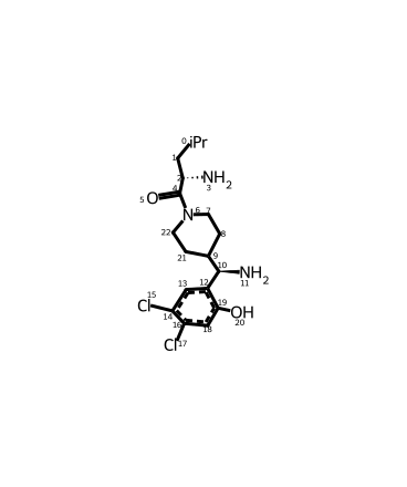 CC(C)C[C@H](N)C(=O)N1CCC([C@@H](N)c2cc(Cl)c(Cl)cc2O)CC1